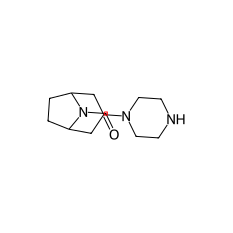 O=CN1C2CCC1CC(N1CCNCC1)C2